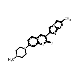 Cc1cn2cc(-c3cc4ccc(N5CCN(C)CC5)cc4oc3=O)nc2s1